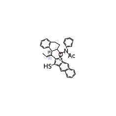 C/C=C(/c1sc2cc3ccccc3cc2c1S)[C@H]1c2ccccc2CCC1C(=O)N(C(C)=O)c1ccccc1